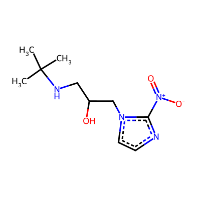 CC(C)(C)NCC(O)Cn1ccnc1[N+](=O)[O-]